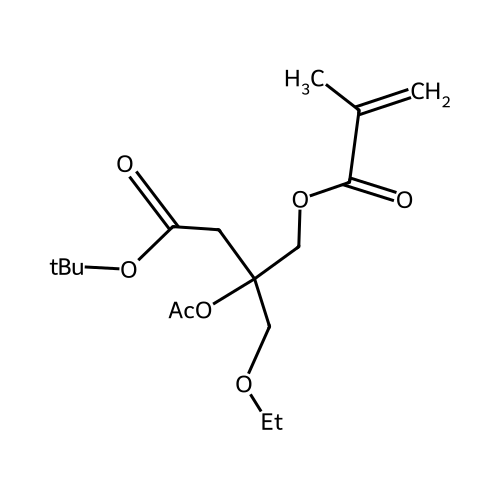 C=C(C)C(=O)OCC(COCC)(CC(=O)OC(C)(C)C)OC(C)=O